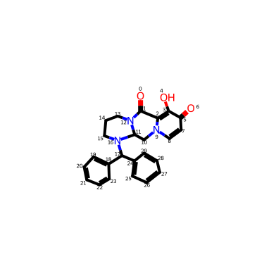 O=C1c2c(O)c(=O)ccn2CC2N1CCCN2C(c1ccccc1)c1ccccc1